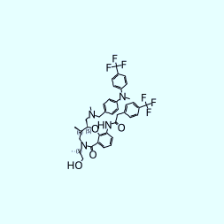 C[C@@H]1CN([C@@H](C)CO)C(=O)c2cccc(NC(=O)Cc3ccc(C(F)(F)F)cc3)c2O[C@@H]1CN(C)Cc1ccc(N(C)c2ccc(C(F)(F)F)cc2)cc1